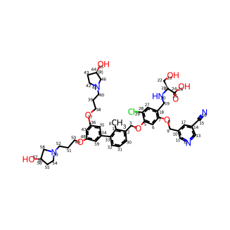 Cc1c(COc2cc(OCc3cncc(C#N)c3)c(CN[C@@H](CO)C(=O)O)cc2Cl)cccc1-c1cc(OCCCN2CC[C@@H](O)C2)cc(OCCCN2CC[C@@H](O)C2)c1